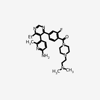 CCc1ncnc(-c2ccc(C(=O)N3CCN(CCN(C)C)CC3)c(F)c2)c1-c1ccc(N)nc1C